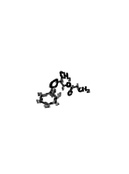 C=CC(=O)OCC(C)Oc1ccccc1